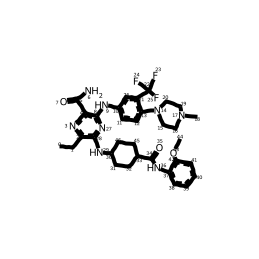 CCc1nc(C(N)=O)c(Nc2ccc(N3CCN(C)CC3)c(C(F)(F)F)c2)nc1NC1CCC(C(=O)Nc2ccccc2OC)CC1